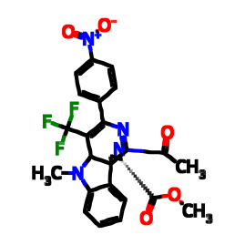 COC(=O)[C@@H]1C[C@@]23C(=NC(c4ccc([N+](=O)[O-])cc4)=C(C(F)(F)F)C2N(C)c2ccccc23)N1C(C)=O